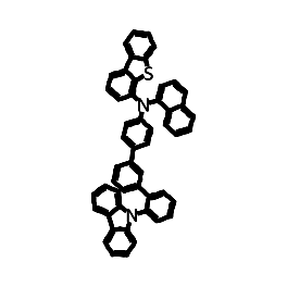 c1cc(-c2ccc(N(c3cccc4ccccc34)c3cccc4c3sc3ccccc34)cc2)cc(-c2ccccc2-n2c3ccccc3c3ccccc32)c1